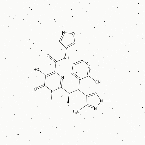 C[C@@H](c1nc(C(=O)Nc2cnoc2)c(O)c(=O)n1C)[C@H](c1ccccc1C#N)c1cn(C)nc1C(F)(F)F